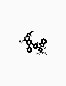 Cc1nc2cc(C(C)C)nn2c2nc(-c3ccc([C@]4(N5C(=O)c6ccccc6C5=O)C[C@@](C)(O)C4)cc3)c(-c3ccccc3)cc12